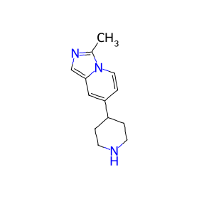 Cc1ncc2cc(C3CCNCC3)ccn12